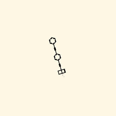 N[C@]12C=CC1(C#Cc1ccc(C#Cc3ccccc3)cc1)CC2